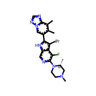 Cc1c(-c2[nH]c3cnc(N4CCN(C)C[C@H]4C)c(F)c3c2C(C)C)cn2ncnc2c1C